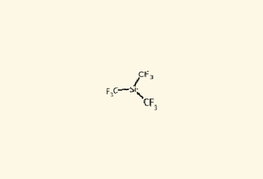 FC(F)(F)[Si](C(F)(F)F)C(F)(F)F